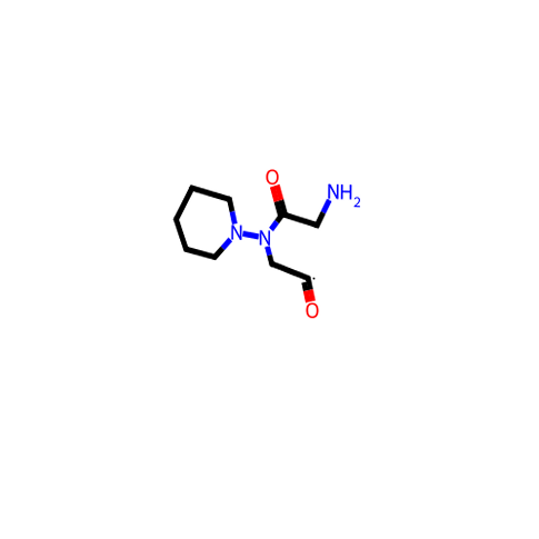 NCC(=O)N(C[C]=O)N1CCCCC1